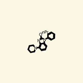 CCCOc1nc2c(N3CCCCC3)cccc2n1-c1ccccc1